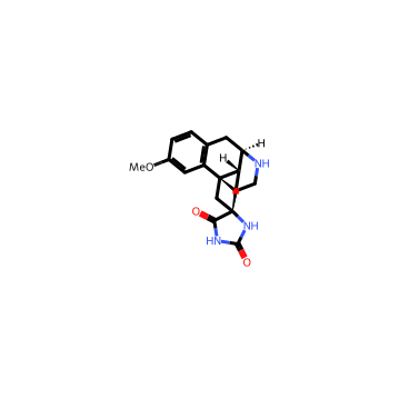 COc1ccc2c(c1)[C@]13CCN[C@H](C2)[C@@H]1CC[C@@]1(C3)NC(=O)NC1=O